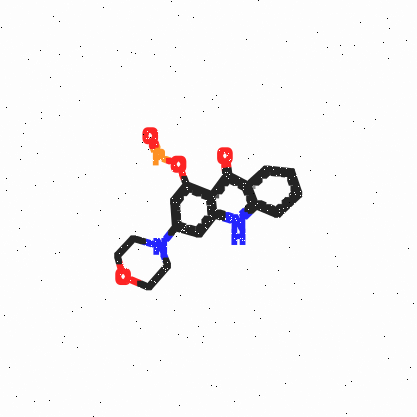 O=POc1cc(N2CCOCC2)cc2[nH]c3ccccc3c(=O)c12